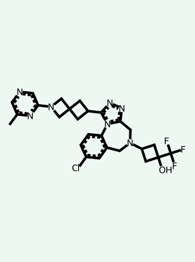 Cc1cncc(N2CC3(CC(c4nnc5n4-c4ccc(Cl)cc4CN(C4CC(O)(C(F)(F)F)C4)C5)C3)C2)n1